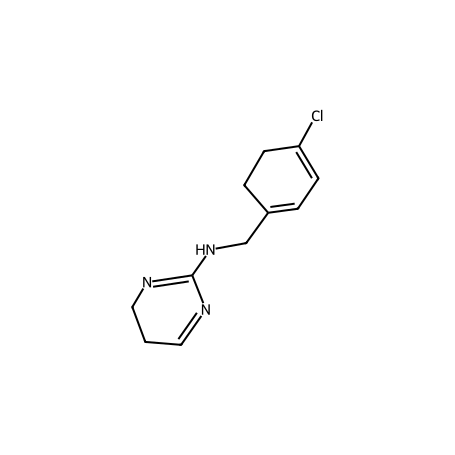 ClC1=CC=C(CNC2=NCCC=N2)CC1